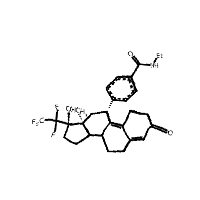 CCNC(=O)c1ccc([C@H]2C[C@@]3(C)C(CC[C@]3(O)C(F)(F)C(F)(F)F)C3CCC4=CC(=O)CCC4=C32)cc1